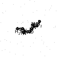 CC(C(=O)C(C)N1CCC(c2nc(-c3cccc(OCc4ccccc4)c3)c3c(N)ncnn23)CC1)N1CCC(c2nc(-c3cccc(OCc4ccccc4)c3)c3c(N)ncnn23)CC1